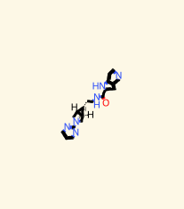 O=C(NCC[C@@H]1[C@H]2CN(c3ncccn3)C[C@@H]12)c1cc2cnccc2[nH]1